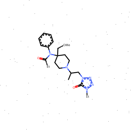 CCC(=O)N(c1ccccc1)C1(COC)CCN(C(C)Cn2nnn(CC)c2=O)CC1